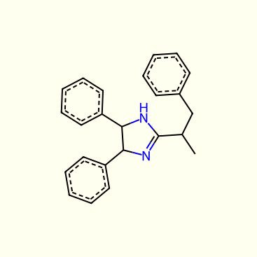 CC(Cc1ccccc1)C1=NC(c2ccccc2)C(c2ccccc2)N1